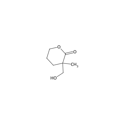 CC1(CO)CCCOC1=O